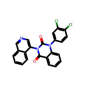 O=c1c2ccccc2n(-c2ccc(Cl)c(Cl)c2)c(=O)n1-c1cncc2ccccc12